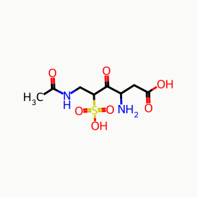 CC(=O)NCC(C(=O)C(N)CC(=O)O)S(=O)(=O)O